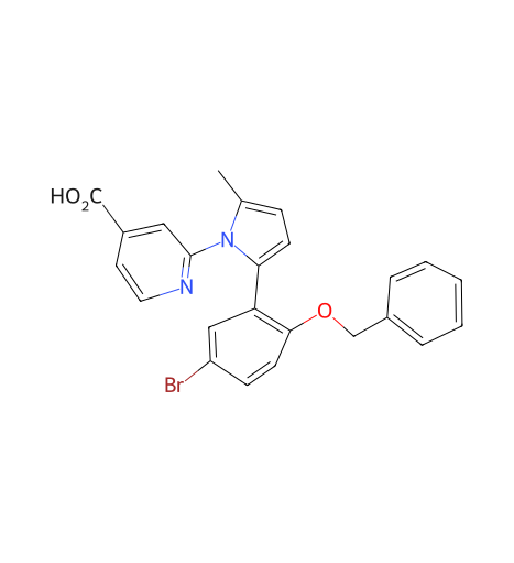 Cc1ccc(-c2cc(Br)ccc2OCc2ccccc2)n1-c1cc(C(=O)O)ccn1